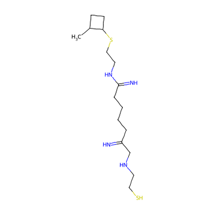 CC1CCC1SCCNC(=N)CCCCC(=N)CNCCS